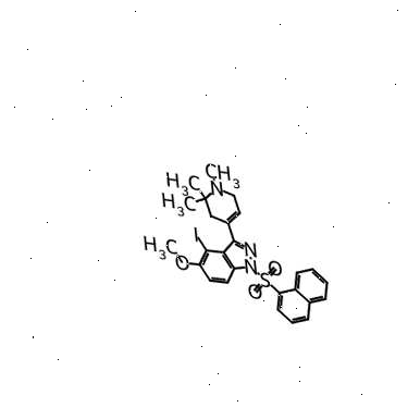 COc1ccc2c(c(C3=CCN(C)C(C)(C)C3)nn2S(=O)(=O)c2cccc3ccccc23)c1I